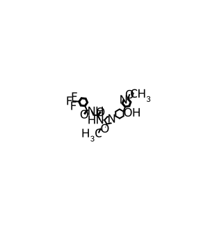 CCO[C@H]1CN(C2CCC(O)(c3ccc(OC)nc3)CC2)C[C@@H]1NC(=O)CNC(=O)c1cccc(C(F)(F)F)c1